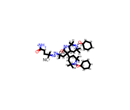 CC(C#N)(CCC(N)=O)/N=N/C(C)(C#N)CC(C(N)=O)(C1CC(C)(C)N(OC2CCCCC2)C(C)(C)C1)C1CC(C)(C)N(OC2CCCCC2)C(C)(C)C1